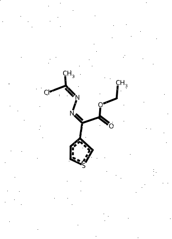 CCOC(=O)C(=NN=C(C)Cl)c1ccsc1